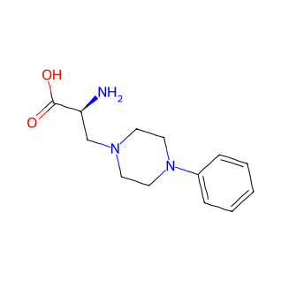 N[C@@H](CN1CCN(c2ccccc2)CC1)C(=O)O